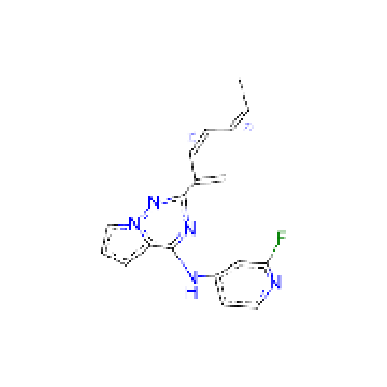 C=C(/C=C\C=C/C)c1nc(Nc2ccnc(F)c2)c2cccn2n1